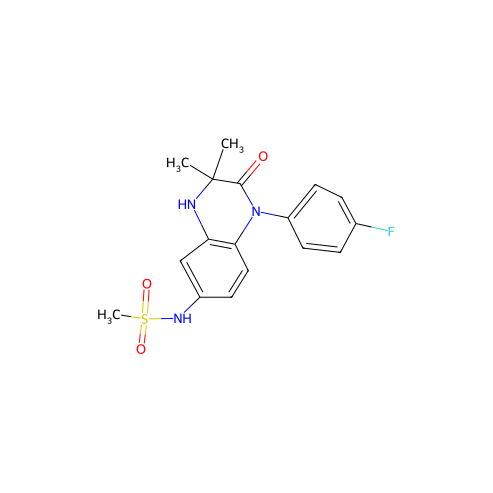 CC1(C)Nc2cc(NS(C)(=O)=O)ccc2N(c2ccc(F)cc2)C1=O